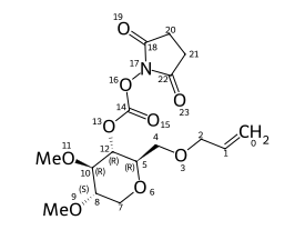 C=CCOC[C@H]1OC[C@H](OC)[C@@H](OC)[C@@H]1OC(=O)ON1C(=O)CCC1=O